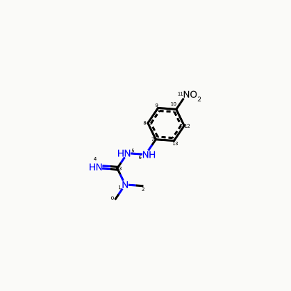 CN(C)C(=N)NNc1ccc([N+](=O)[O-])cc1